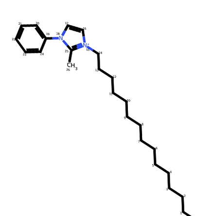 CCCCCCCCCCCCCCC[n+]1ccn(-c2ccccc2)c1C